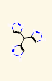 c1[nH]nnc1[C](c1c[nH]nn1)c1c[nH]nn1